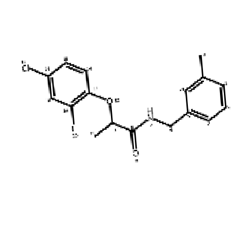 Cc1cccc(CNC(=O)C(C)Oc2ccc(Cl)cc2Cl)c1